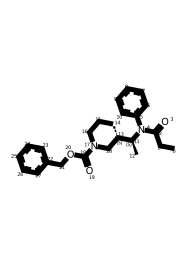 CCC(=O)N(c1ccccc1)[C@@H](C)[C@H]1CCCN(C(=O)OCc2ccccc2)C1